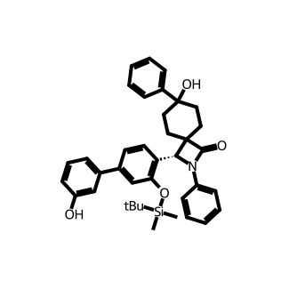 CC(C)(C)[Si](C)(C)Oc1cc(-c2cccc(O)c2)ccc1[C@H]1N(c2ccccc2)C(=O)C12CCC(O)(c1ccccc1)CC2